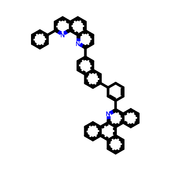 C1=CC(c2nc3c4ccccc4c4ccccc4c3c3ccccc23)=CC(c2ccc3ccc(-c4ccc5ccc6ccc(-c7ccccc7)nc6c5n4)cc3c2)C1